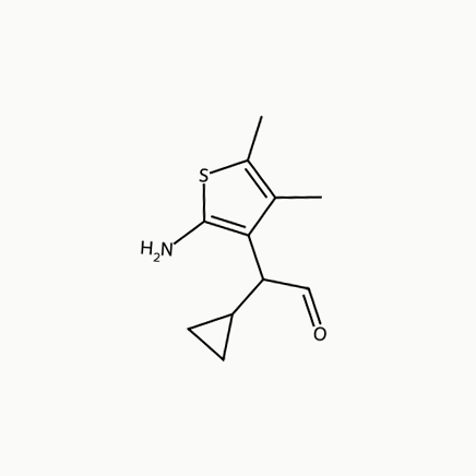 Cc1sc(N)c(C(C=O)C2CC2)c1C